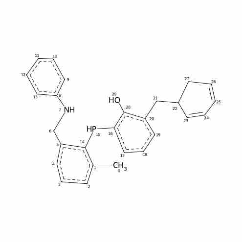 Cc1cccc(CNc2ccccc2)c1Pc1cccc(CC2C=CC=CC2)c1O